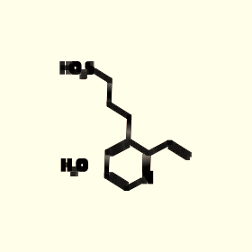 C=Cc1ncccc1CCCS(=O)(=O)O.O